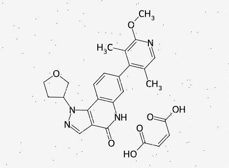 COc1ncc(C)c(-c2ccc3c(c2)[nH]c(=O)c2cnn(C4CCOC4)c23)c1C.O=C(O)/C=C\C(=O)O